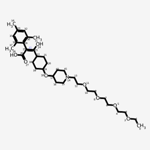 CCOCCOCCOCCOCCN1CCC(OC2CCC(/C(O)=C(\C(=O)O)c3c(C)cc(C)cc3C)CC2)CC1